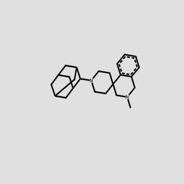 CN1Cc2ccccc2C2(CCN(C3C4CC5CC(C4)CC3C5)CC2)C1